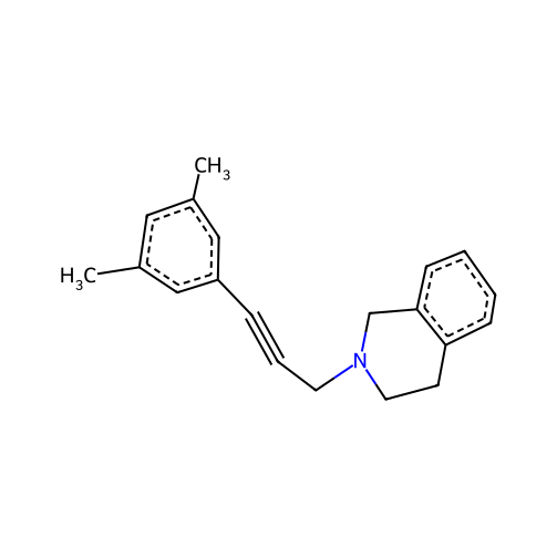 Cc1cc(C)cc(C#CCN2CCc3ccccc3C2)c1